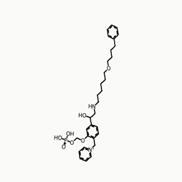 O=P(O)(O)OCOc1cc(C(O)CNCCCCCCOCCCCc2ccccc2)ccc1C[n+]1ccccc1